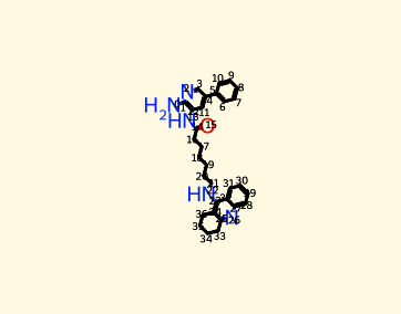 Nc1ncc(-c2ccccc2)cc1NC(=O)CCCCCCNc1c2c(nc3ccccc13)CCCC2